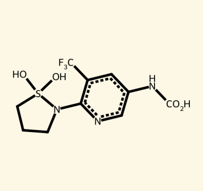 O=C(O)Nc1cnc(N2CCCS2(O)O)c(C(F)(F)F)c1